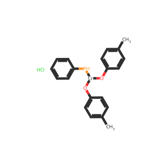 Cc1ccc([O][Cr]([O]c2ccc(C)cc2)[PH]c2ccccc2)cc1.Cl